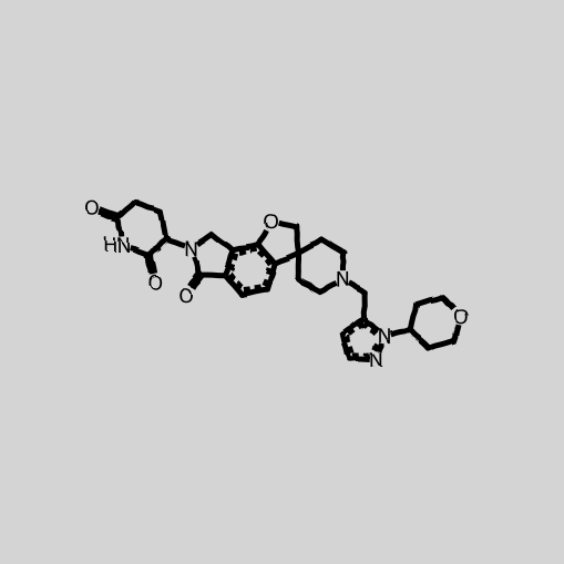 O=C1CCC(N2Cc3c(ccc4c3OCC43CCN(Cc4ccnn4C4CCOCC4)CC3)C2=O)C(=O)N1